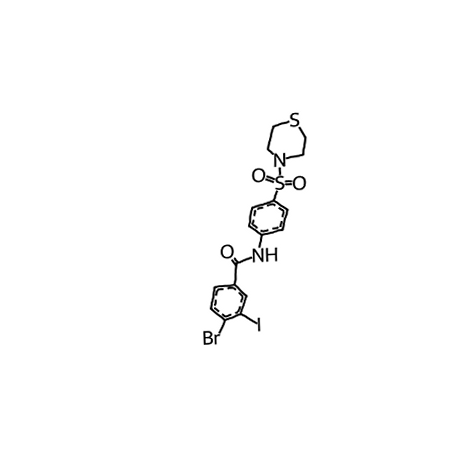 O=C(Nc1ccc(S(=O)(=O)N2CCSCC2)cc1)c1ccc(Br)c(I)c1